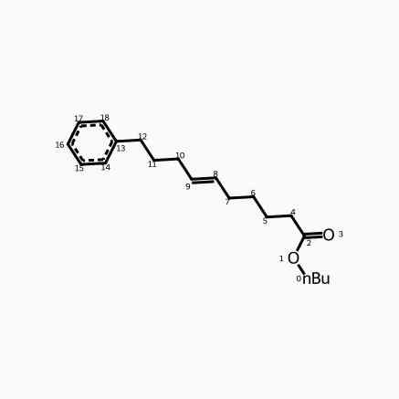 CCCCOC(=O)CCCCC=CCCCc1ccccc1